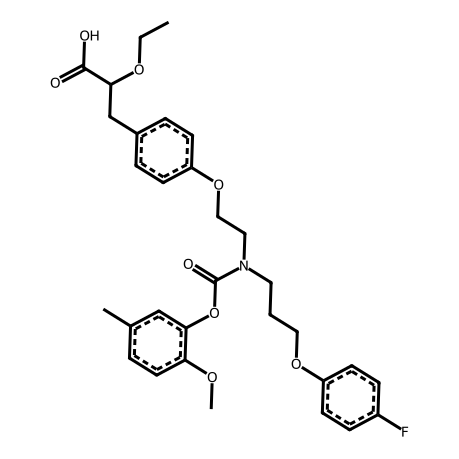 CCOC(Cc1ccc(OCCN(CCCOc2ccc(F)cc2)C(=O)Oc2cc(C)ccc2OC)cc1)C(=O)O